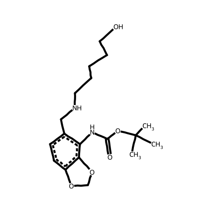 CC(C)(C)OC(=O)Nc1c(CNCCCCCO)ccc2c1OCO2